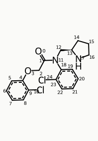 O=C(COc1ccccc1Cl)N(C[C@H]1CCCN1)c1ccccc1Cl